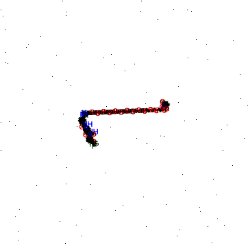 O=C(CCOCCOCCOCCOCCOCCOCCOCCOCCOCCOCCOCCOCCn1cc(-c2cccc(NC(=O)N3CCC4(CC3)NC(=O)N(c3cccc(OC(F)(F)F)c3)C4=O)c2)nn1)ON1C(=O)CCC1=O